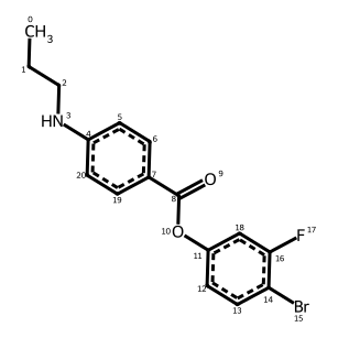 CCCNc1ccc(C(=O)Oc2ccc(Br)c(F)c2)cc1